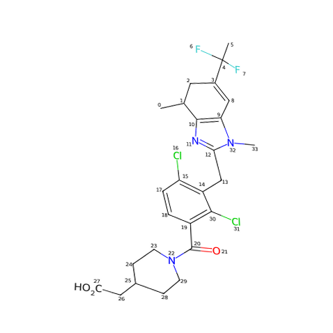 CC1CC(C(C)(F)F)=Cc2c1nc(Cc1c(Cl)ccc(C(=O)N3CCC(CC(=O)O)CC3)c1Cl)n2C